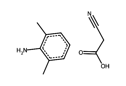 Cc1cccc(C)c1N.N#CCC(=O)O